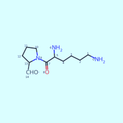 NCCCCC(N)C(=O)N1CCCC1[C]=O